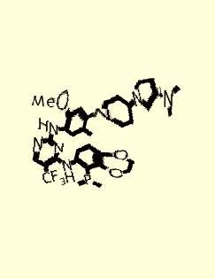 COc1cc(N2CCC(N3CC[C@H](N(C)C)C3)CC2)c(C)cc1Nc1ncc(C(F)(F)F)c(Nc2ccc3c(c2P(C)C)OCCO3)n1